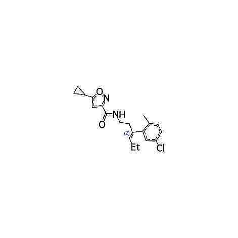 CC/C=C(/CCNC(=O)c1cc(C2CC2)on1)c1cc(Cl)ccc1C